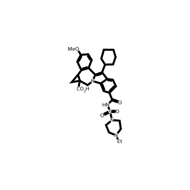 CCN1CCN(S(=O)(=O)NC(=O)c2ccc3c(C4CCCCC4)c4n(c3c2)CC2(C(=O)O)CC2c2cc(OC)ccc2-4)CC1